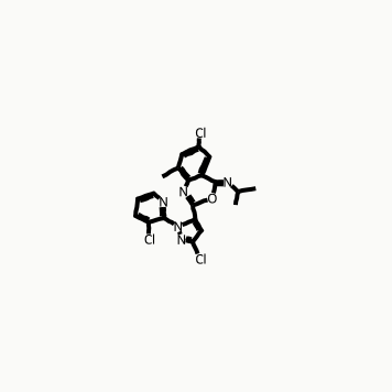 Cc1cc(Cl)cc2/c(=N/C(C)C)oc(-c3cc(Cl)nn3-c3ncccc3Cl)nc12